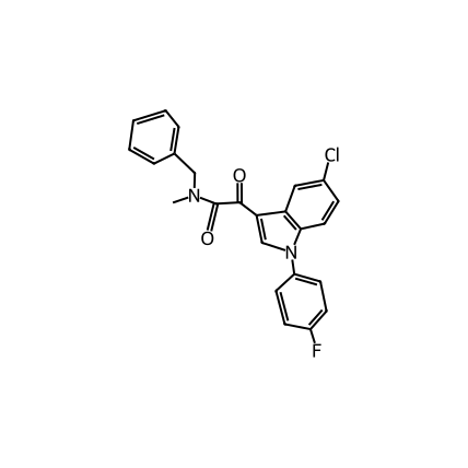 CN(Cc1ccccc1)C(=O)C(=O)c1cn(-c2ccc(F)cc2)c2ccc(Cl)cc12